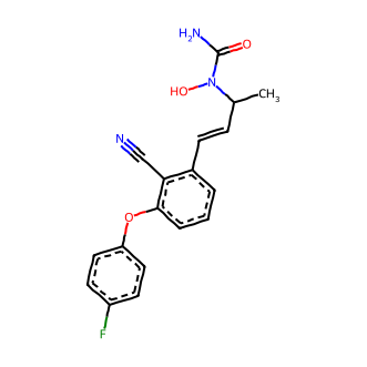 CC(/C=C/c1cccc(Oc2ccc(F)cc2)c1C#N)N(O)C(N)=O